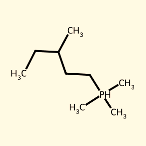 CCC(C)CC[PH](C)(C)C